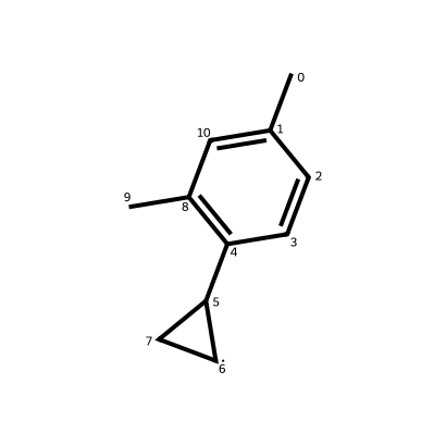 Cc1ccc(C2[CH]C2)c(C)c1